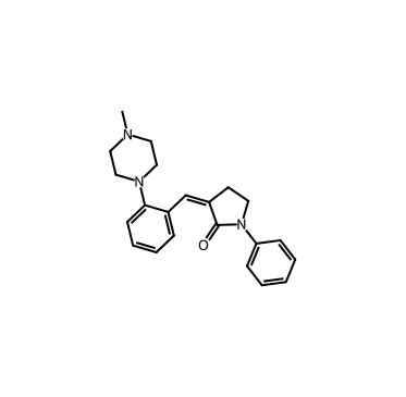 CN1CCN(c2ccccc2C=C2CCN(c3ccccc3)C2=O)CC1